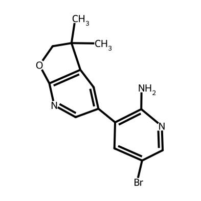 CC1(C)COc2ncc(-c3cc(Br)cnc3N)cc21